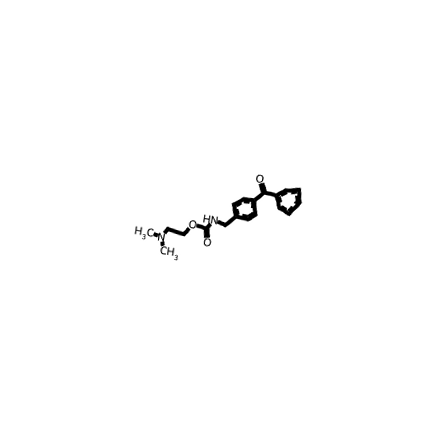 CN(C)CCOC(=O)NCc1ccc(C(=O)c2ccccc2)cc1